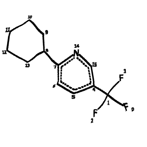 FC(F)(F)c1ccc(C2CCCCC2)nc1